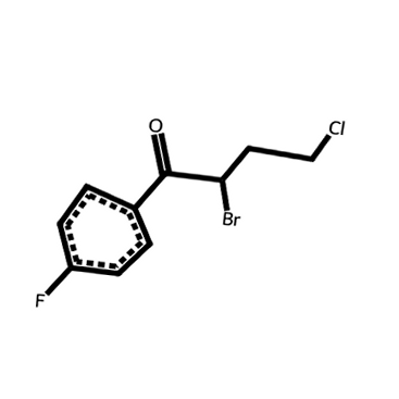 O=C(c1ccc(F)cc1)C(Br)CCCl